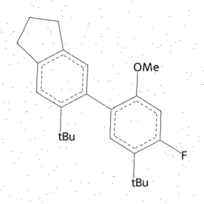 COc1cc(F)c(C(C)(C)C)cc1-c1cc2c(cc1C(C)(C)C)CCC2